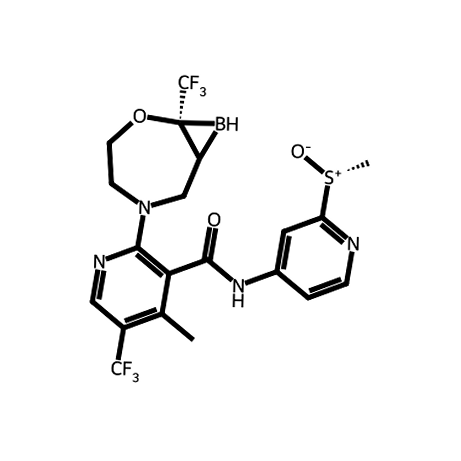 Cc1c(C(F)(F)F)cnc(N2CCO[C@@]3(C(F)(F)F)BC3C2)c1C(=O)Nc1ccnc([S@@+](C)[O-])c1